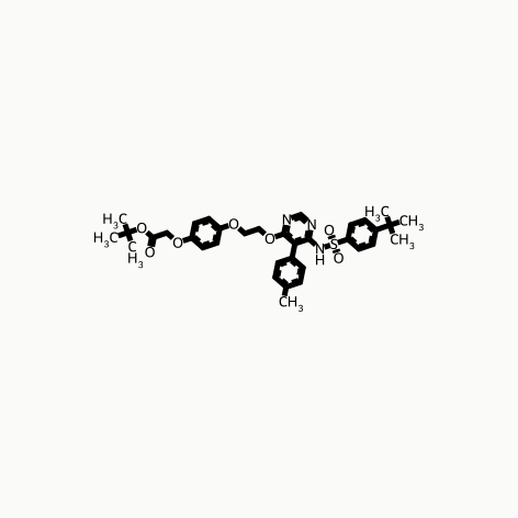 Cc1ccc(-c2c(NS(=O)(=O)c3ccc(C(C)(C)C)cc3)ncnc2OCCOc2ccc(OCC(=O)OC(C)(C)C)cc2)cc1